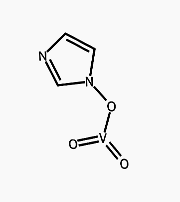 [O]=[V](=[O])[O]n1ccnc1